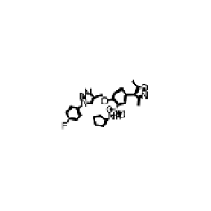 Cc1noc(C)c1-c1ccc(OCc2cn(-c3ccc(F)cc3)nn2)c(S(=O)(=O)NC2CCCC2)c1